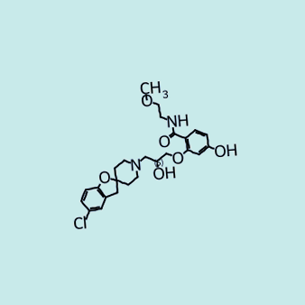 COCCNC(=O)c1ccc(O)cc1OC[C@@H](O)CN1CCC2(CC1)Cc1cc(Cl)ccc1O2